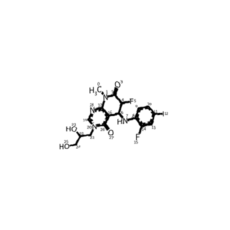 CN1C(=O)C(F)C(Nc2ccc(I)cc2F)c2c1ncn(CC(O)CO)c2=O